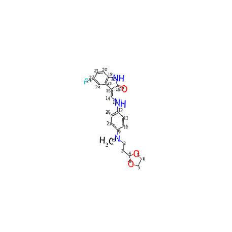 CN(CCC1OCCO1)c1ccc(NC=C2C(=O)Nc3ccc(F)cc32)cc1